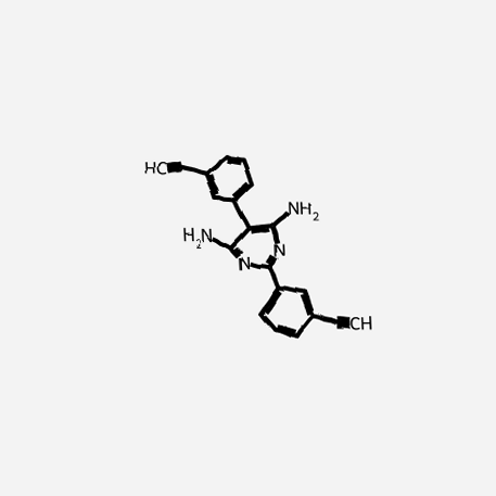 C#Cc1cccc(-c2nc(N)c(-c3cccc(C#C)c3)c(N)n2)c1